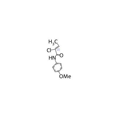 C/C=C(\Cl)C(=O)Nc1ccc(OC)cc1